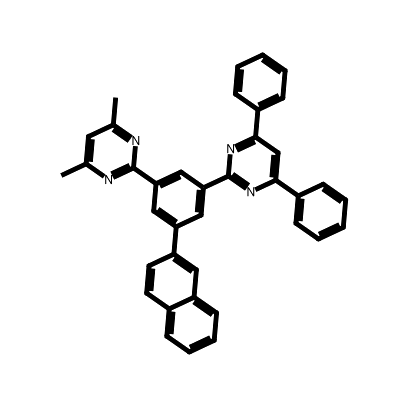 Cc1cc(C)nc(-c2cc(-c3ccc4ccccc4c3)cc(-c3nc(-c4ccccc4)cc(-c4ccccc4)n3)c2)n1